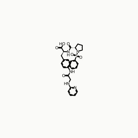 O=C(CNc1ccccn1)Nc1ccc(C[C@H](NC(=O)[C@@H]2CCCN2S(=O)(=O)c2ccccc2)C(=O)O)cc1